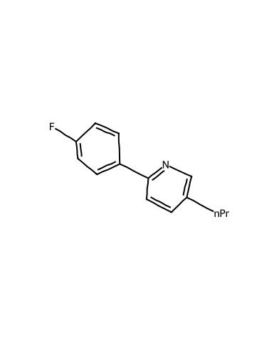 [CH2]CCc1ccc(-c2ccc(F)cc2)nc1